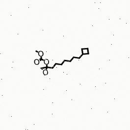 COC(=O)OC1(CCCCCCCC2CCC2)CO1